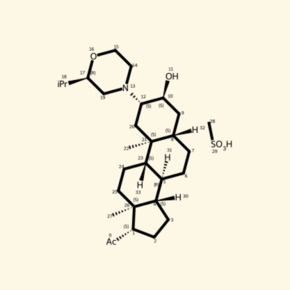 CC(=O)[C@H]1CC[C@H]2[C@@H]3CC[C@H]4C[C@H](O)[C@@H](N5CCO[C@H](C(C)C)C5)C[C@]4(C)[C@H]3CC[C@]12C.CS(=O)(=O)O